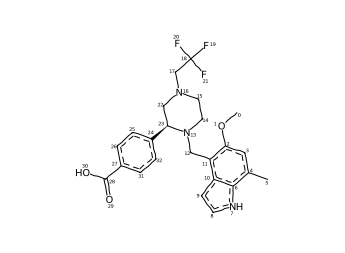 COc1cc(C)c2[nH]ccc2c1CN1CCN(CC(F)(F)F)C[C@@H]1c1ccc(C(=O)O)cc1